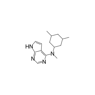 CC1CC(C)CC(N(C)c2ncnc3[nH]ccc23)C1